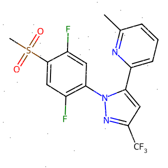 Cc1cccc(-c2cc(C(F)(F)F)nn2-c2cc(F)c(S(C)(=O)=O)cc2F)n1